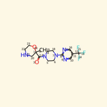 CC1(C(=O)N2CCN(c3ncc(C(F)(F)F)cn3)CC2)CNCCO1